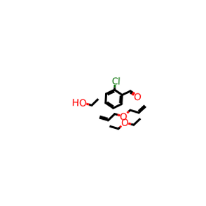 C=CCOCC=C.CCO.CCOCC.O=Cc1ccccc1Cl